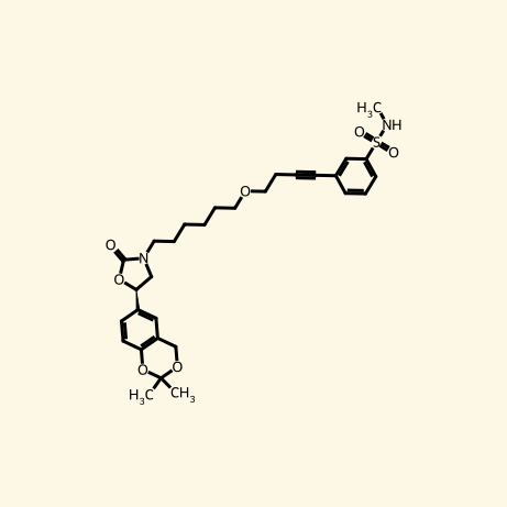 CNS(=O)(=O)c1cccc(C#CCCOCCCCCCN2C[C@@H](c3ccc4c(c3)COC(C)(C)O4)OC2=O)c1